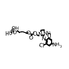 Nc1cc(Cl)c(/N=C2\NCCN2COC(=O)OCCCCON(O)O)c(Cl)c1